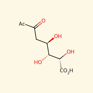 CC(=O)C(=O)C[C@@H](O)[C@@H](O)[C@H](O)C(=O)O